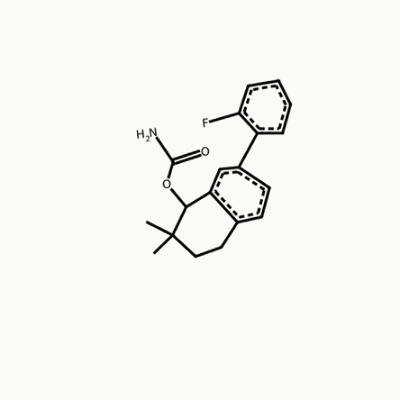 CC1(C)CCc2ccc(-c3ccccc3F)cc2C1OC(N)=O